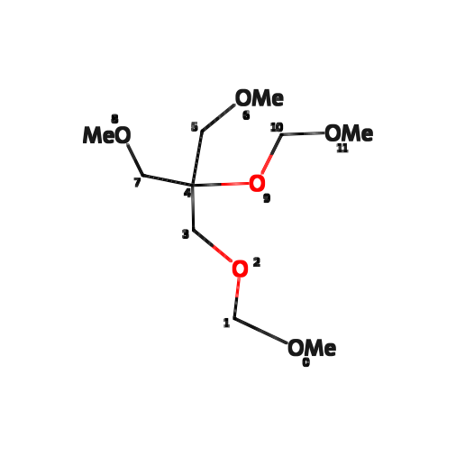 COCOCC(COC)(COC)OCOC